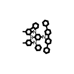 Cc1ccc2c(c1)B1c3c(cc(-n4c5cc(-c6ccccc6)ccc5c5ccc(-c6ccccc6)cc54)cc3-n3c4ccccc4c4cc(C)cc1c43)N2c1ccccc1